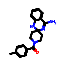 Cc1ccc(C(=O)N2CCC3(CC2)N=C(N)c2ccccc2N3)cc1